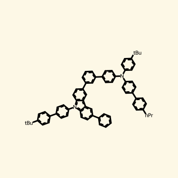 CCCc1ccc(-c2ccc(N(c3ccc(-c4cccc(-c5ccc6c(c5)c5cc(-c7ccccc7)ccc5n6-c5ccc(-c6ccc(C(C)(C)C)cc6)cc5)c4)cc3)c3ccc(C(C)(C)C)cc3)cc2)cc1